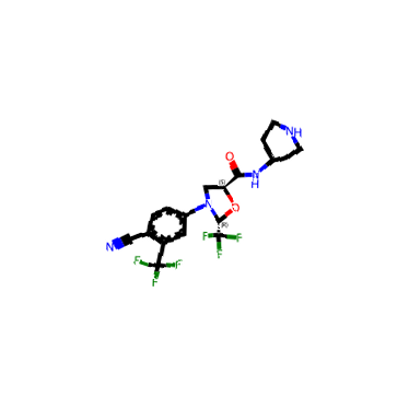 N#Cc1ccc(N2C[C@@H](C(=O)NC3CCNCC3)O[C@@H]2C(F)(F)F)cc1C(F)(F)F